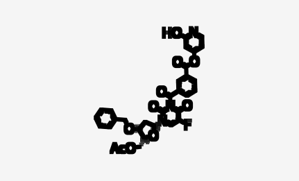 CC(=O)OC[C@H]1O[C@@H](n2cc(F)c(=O)n(C(=O)c3cccc(C(=O)Oc4ccnc(O)c4)c3)c2=O)C[C@@H]1OCc1ccccc1